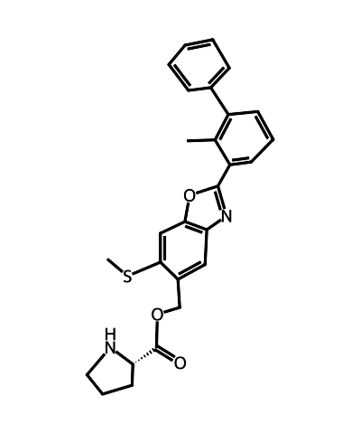 CSc1cc2oc(-c3cccc(-c4ccccc4)c3C)nc2cc1COC(=O)[C@@H]1CCCN1